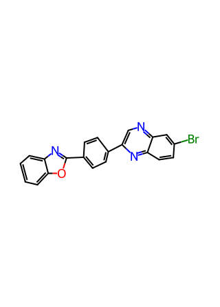 Brc1ccc2nc(-c3ccc(-c4nc5ccccc5o4)cc3)cnc2c1